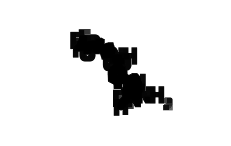 Cc1ccc(S(=O)(=O)NC23CC(C(C)(C)OC(=O)C(F)(F)F)(C2)C3)cc1-c1cnc2c(N)nc(C(F)(F)F)cn12